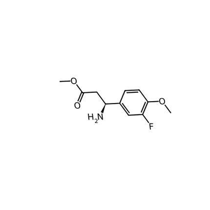 COC(=O)C[C@H](N)c1ccc(OC)c(F)c1